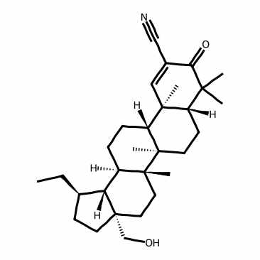 CC[C@@H]1CC[C@]2(CO)CC[C@]3(C)[C@H](CC[C@@H]4[C@@]5(C)C=C(C#N)C(=O)C(C)(C)[C@@H]5CC[C@]43C)[C@@H]12